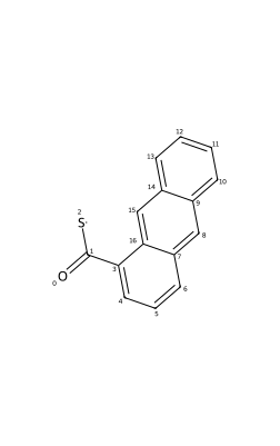 O=C([S])c1cccc2cc3ccccc3cc12